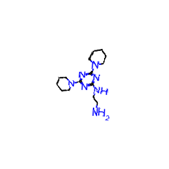 NCCNc1nc(N2CCCCC2)nc(N2CCCCC2)n1